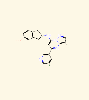 Cc1cnn2c(N[C@@H]3Cc4ccc(O)cc4C3)cc(-c3cncc(F)c3)nc12